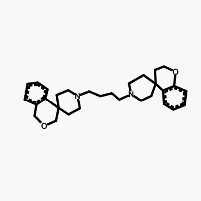 c1ccc2c(c1)COCC21CCN(CCCCN2CCC3(CCOc4ccccc43)CC2)CC1